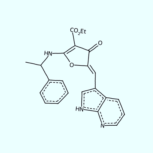 CCOC(=O)C1=C(NC(C)c2ccccc2)OC(=Cc2c[nH]c3ncccc23)C1=O